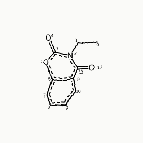 CCn1c(=O)oc2ccccc2c1=O